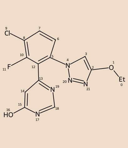 CCOc1cn(-c2ccc(Cl)c(F)c2-c2cc(O)ncn2)nn1